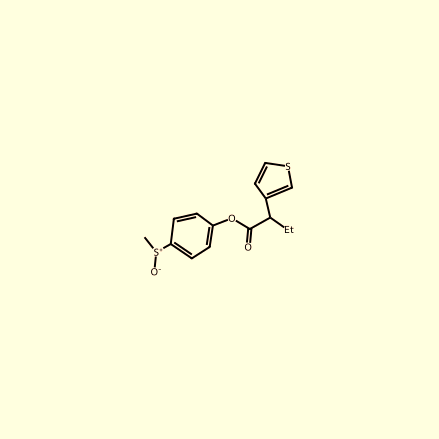 CCC(C(=O)Oc1ccc([S+](C)[O-])cc1)c1ccsc1